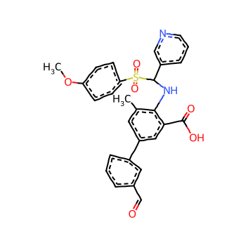 COc1ccc(S(=O)(=O)C(Nc2c(C)cc(-c3cccc(C=O)c3)cc2C(=O)O)c2cccnc2)cc1